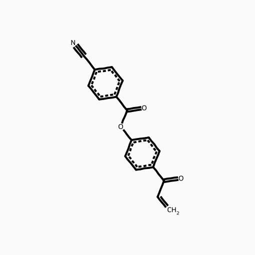 C=CC(=O)c1ccc(OC(=O)c2ccc(C#N)cc2)cc1